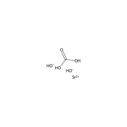 O=C(O)O.[OH-].[OH-].[Sr+2]